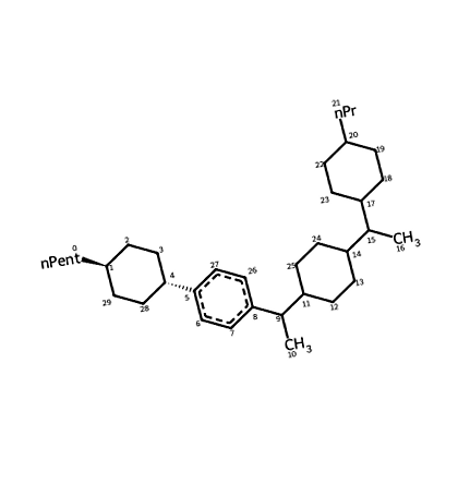 CCCCC[C@H]1CC[C@H](c2ccc(C(C)C3CCC(C(C)C4CCC(CCC)CC4)CC3)cc2)CC1